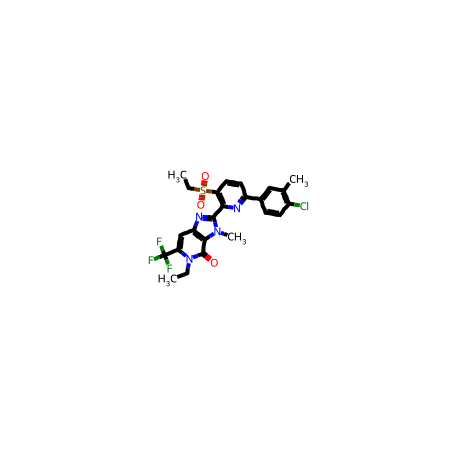 CCn1c(C(F)(F)F)cc2nc(-c3nc(-c4ccc(Cl)c(C)c4)ccc3S(=O)(=O)CC)n(C)c2c1=O